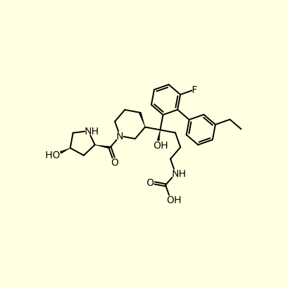 CCc1cccc(-c2c(F)cccc2[C@](O)(CCCNC(=O)O)[C@@H]2CCCN(C(=O)[C@H]3C[C@@H](O)CN3)C2)c1